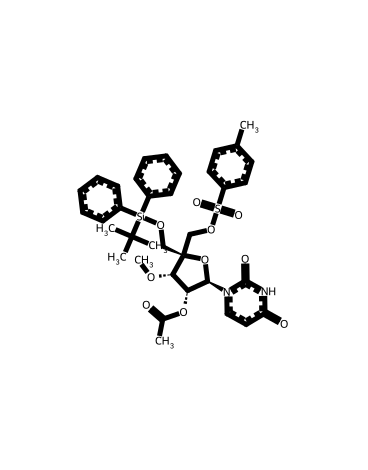 CO[C@H]1[C@@H](OC(C)=O)[C@H](n2ccc(=O)[nH]c2=O)O[C@@]1(CO[Si](c1ccccc1)(c1ccccc1)C(C)(C)C)COS(=O)(=O)c1ccc(C)cc1